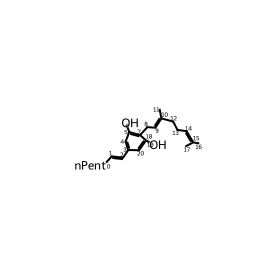 CCCCC/C=C/c1cc(O)c(C/C=C(\C)CCC=C(C)C)c(O)c1